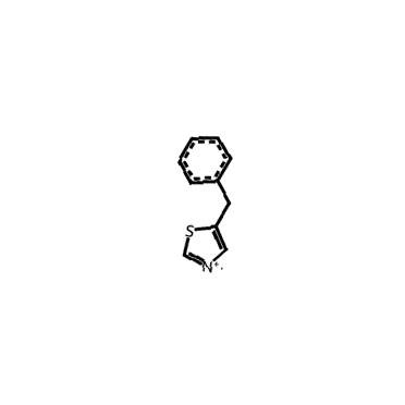 C1=[N+]C=C(Cc2ccccc2)S1